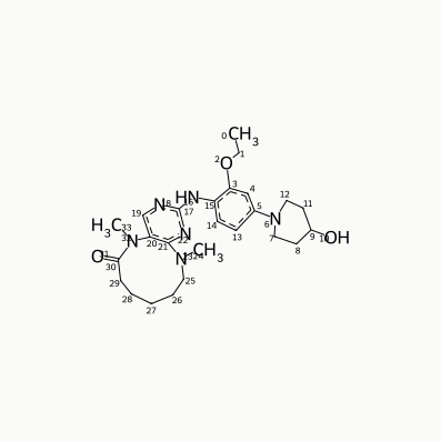 CCOc1cc(N2CCC(O)CC2)ccc1Nc1ncc2c(n1)N(C)CCCCCC(=O)N2C